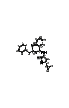 c1ccc(Cc2nc(Nc3cc(C4CC4)n[nH]3)c3ccccc3n2)cc1